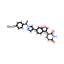 COc1ccc(C(C)n2cc(-c3ccc4c(C5CCC(=O)NC5=O)coc4c3)cn2)cc1